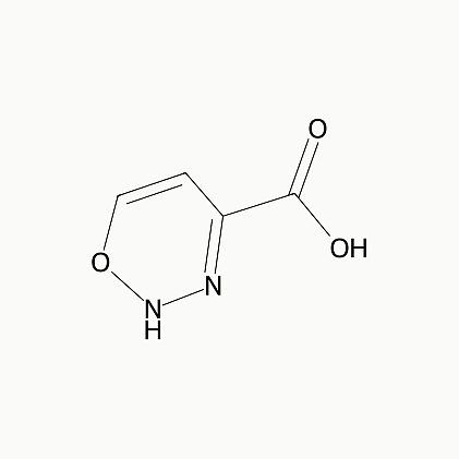 O=C(O)C1=NNOC=C1